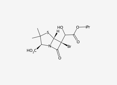 CC(C)OC(=O)C(O)[C@]1(Br)C(=O)N2[C@@H](C(=O)O)C(C)(C)S[C@@H]21